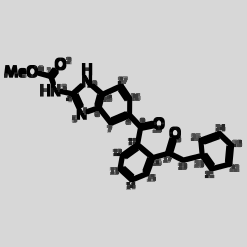 COC(=O)Nc1nc2cc(C(=O)c3ccccc3C(=O)Cc3ccccc3)ccc2[nH]1